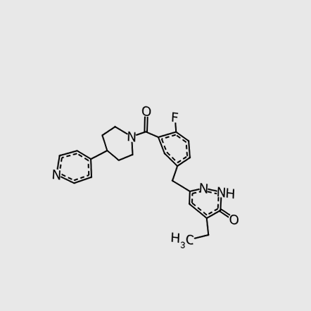 CCc1cc(Cc2ccc(F)c(C(=O)N3CCC(c4ccncc4)CC3)c2)n[nH]c1=O